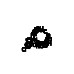 CC[C@@H]1C(=O)N(C)CC/C=C/[C@H](O)[C@@H]2CC[C@H]2CN2C[C@@]3(CCCc4cc(Cl)ccc43)COc3ccc(cc32)[C@@]1(O)C(=O)O